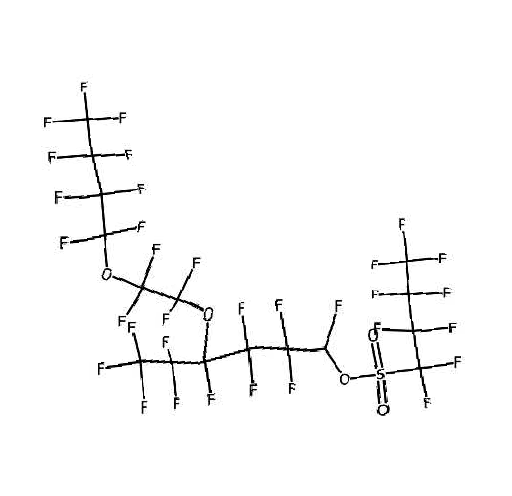 O=S(=O)(OC(F)C(F)(F)C(F)(F)C(F)(OC(F)(F)C(F)(F)OC(F)(F)C(F)(F)C(F)(F)C(F)(F)F)C(F)(F)C(F)(F)F)C(F)(F)C(F)(F)C(F)(F)C(F)(F)F